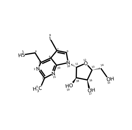 Cc1nc(CS)c2c(I)cn([C@@H]3O[C@H](CO)[C@@H](O)[C@H]3O)c2n1